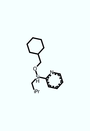 CC(C)C[SiH](OCC1CCCCC1)c1ccccn1